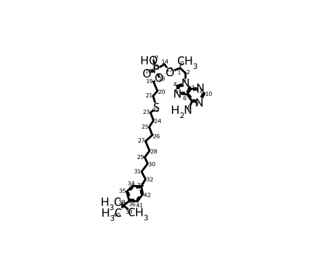 C[C@H](Cn1cnc2c(N)ncnc21)OCP(=O)(O)OCCCSCCCCCCCCCCc1ccc(C(C)(C)C)cc1